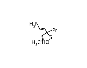 CC=CC(C=CN)(SO)C(C)C